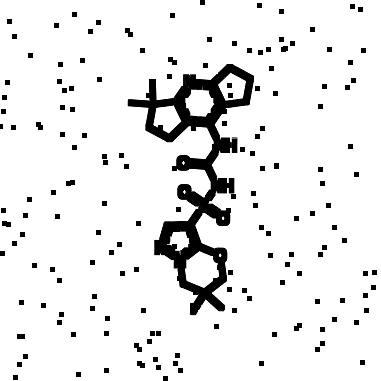 CC1(C)COc2c(S(=O)(=O)NC(=O)Nc3c4c(nc5c3CCC5(C)C)CCC4)cnn2C1